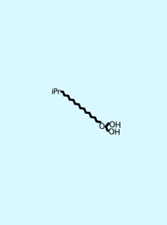 CC(C)CCCCCCCCCCCCCCCOC(CO)CO